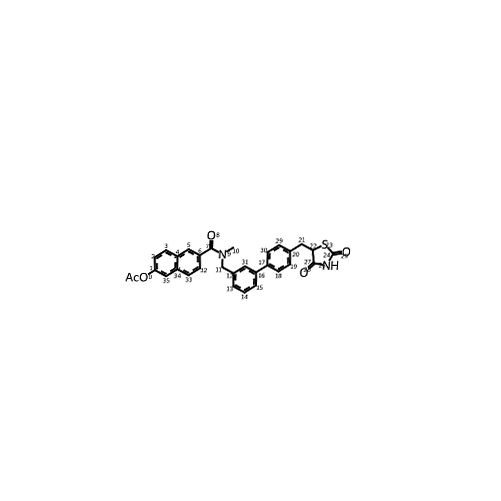 CC(=O)Oc1ccc2cc(C(=O)N(C)Cc3cccc(-c4ccc(CC5SC(=O)NC5=O)cc4)c3)ccc2c1